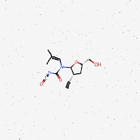 C#C[C@H]1C[C@@H](CO)OC1N(C=C(C)C)C(=O)N=C=O